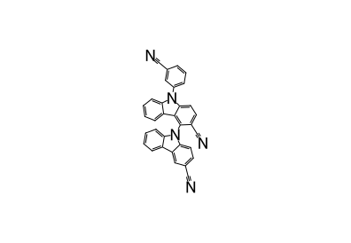 N#Cc1cccc(-n2c3ccccc3c3c(-n4c5ccccc5c5cc(C#N)ccc54)c(C#N)ccc32)c1